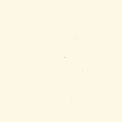 CCOC(=O)C1=C(C)NC(C)=C(C(=O)OC(C)=O)C1